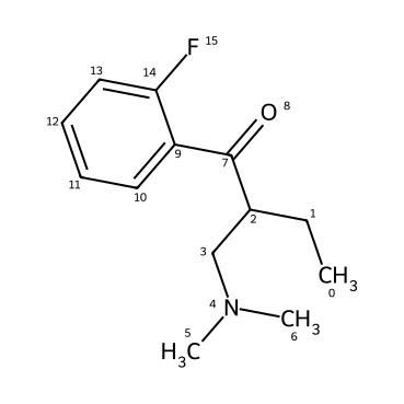 CCC(CN(C)C)C(=O)c1ccccc1F